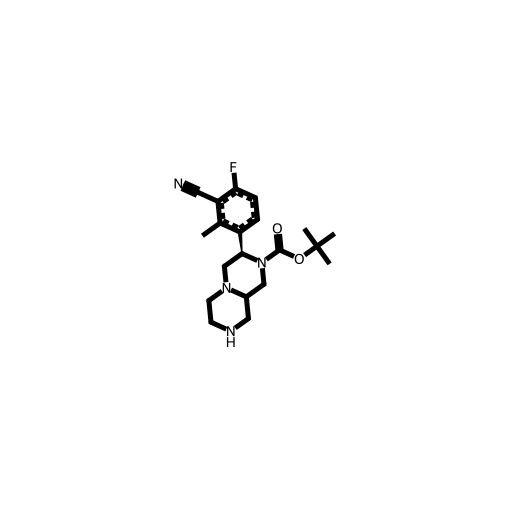 Cc1c([C@@H]2CN3CCNCC3CN2C(=O)OC(C)(C)C)ccc(F)c1C#N